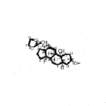 CC1([C@H]2CC[C@H]3[C@@H]4CC[C@@H]5C[C@H](O)CC[C@]5(C)[C@H]4C=C[C@]23C)OCCO1